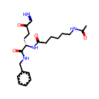 CC(=O)NCCCCCC(=O)N[C@@H](CCC(=O)C=N)C(=O)NCc1ccccc1